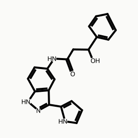 O=C(CC(O)c1ccccc1)Nc1ccc2[nH]nc(-c3ccc[nH]3)c2c1